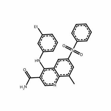 CCc1cccc(Nc2c(C(N)=O)cnc3c(C)cc(S(=O)(=O)c4ccccc4)cc23)c1